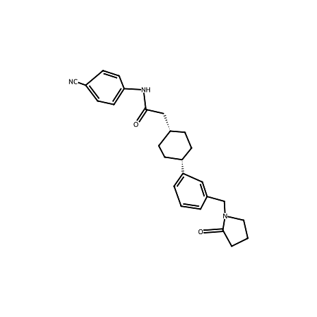 N#Cc1ccc(NC(=O)C[C@H]2CC[C@@H](c3cccc(CN4CCCC4=O)c3)CC2)cc1